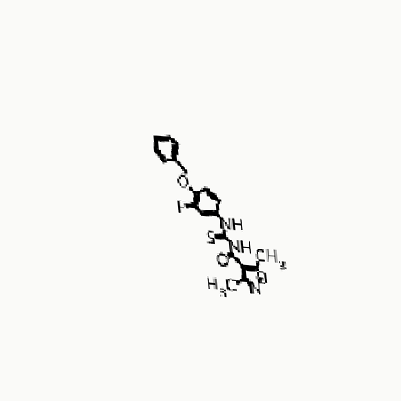 Cc1noc(C)c1C(=O)NC(=S)Nc1ccc(OCc2ccccc2)c(F)c1